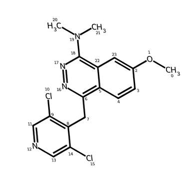 COc1ccc2c(Cc3c(Cl)cncc3Cl)nnc(N(C)C)c2c1